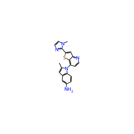 Cc1cc2cc(N)ccc2n1-c1ccnc2cc(-c3nccn3C)sc12